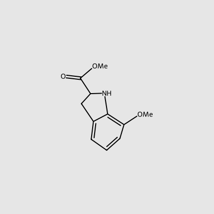 COC(=O)C1Cc2cccc(OC)c2N1